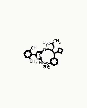 Cc1cccc(C)c1-c1cc2nc(n1)NS(=O)(=O)c1cccc(c1)C(C1CCC1)[C@H](CC(C)C)CO2